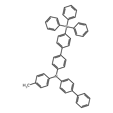 Cc1ccc(N(c2ccc(-c3ccccc3)cc2)c2ccc(-c3ccc([Si](c4ccccc4)(c4ccccc4)c4ccccc4)cc3)cc2)cc1